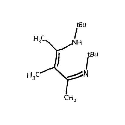 CC(=NC(C)(C)C)C(C)=C(C)NC(C)(C)C